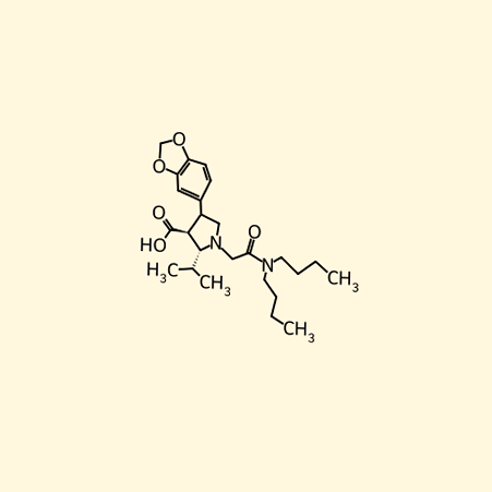 CCCCN(CCCC)C(=O)CN1CC(c2ccc3c(c2)OCO3)[C@H](C(=O)O)[C@H]1C(C)C